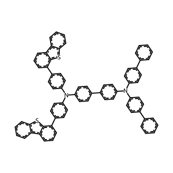 c1ccc(-c2ccc(N(c3ccc(-c4ccccc4)cc3)c3ccc(-c4ccc(N(c5ccc(-c6cccc7c6sc6ccccc67)cc5)c5ccc(-c6cccc7c6sc6ccccc67)cc5)cc4)cc3)cc2)cc1